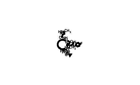 CCc1nc2ccc(F)cc2nc1O[C@@H]1C[C@H]2C(=O)N[C@]3(C(=O)NS(=O)(=O)C4CC4)C[C@H]3C=CCCCCC[C@H](NC(=O)c3cc(C)[nH]n3)C(=O)N2C1